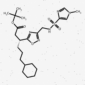 Cn1cnc(S(=O)(=O)NCc2noc([C@H](CCCC3CCCCC3)CC(=O)OC(C)(C)C)n2)c1